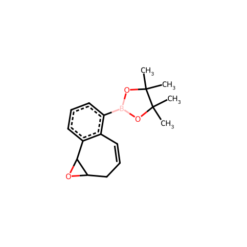 CC1(C)OB(c2cccc3c2C=CCC2OC32)OC1(C)C